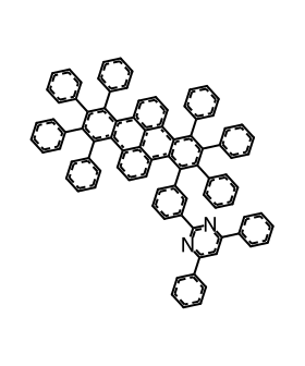 c1ccc(-c2cc(-c3ccccc3)nc(-c3cccc(-c4c(-c5ccccc5)c(-c5ccccc5)c(-c5ccccc5)c5c6cccc7c8c(-c9ccccc9)c(-c9ccccc9)c(-c9ccccc9)c(-c9ccccc9)c8c8cccc(c45)c8c76)c3)n2)cc1